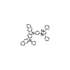 c1ccc(-c2cc(-c3ccccc3)nc(-c3ccc(-n4c5cc6ccccc6cc5c5cc6c7cc8ccccc8cc7n(-c7ccccc7)c6cc54)cc3)n2)cc1